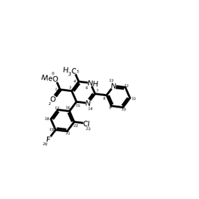 COC(=O)C1=C(C)NC(c2ccccn2)=NC1c1ccc(F)cc1Cl